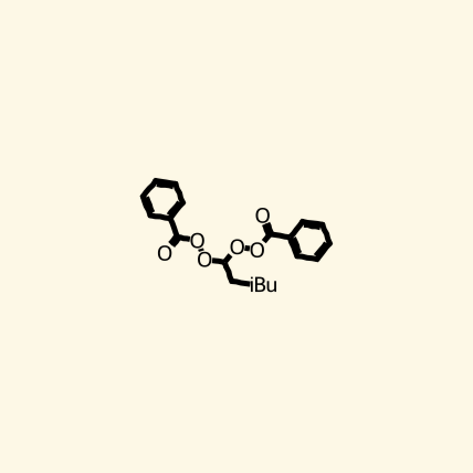 [CH2]CC(C)C[C](OOC(=O)c1ccccc1)OOC(=O)c1ccccc1